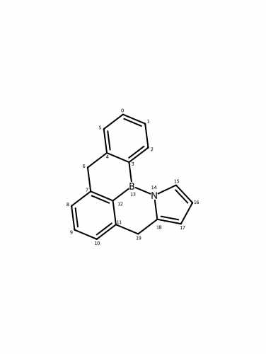 c1ccc2c(c1)Cc1cccc3c1B2n1cccc1C3